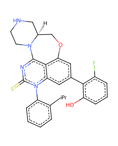 CC(C)c1ccccc1-n1c(=S)nc2c3c(cc(-c4c(O)cccc4F)cc31)OC[C@@H]1CNCCN21